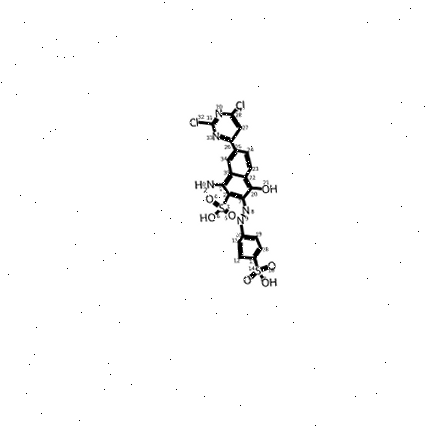 Nc1c(S(=O)(=O)O)c(N=Nc2ccc(S(=O)(=O)O)cc2)c(O)c2ccc(-c3cc(Cl)nc(Cl)n3)cc12